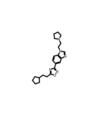 c1cc2c(cc1-c1noc(CCC3CCCC3)n1)ncn2CCN1CCCC1